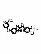 CC(=O)c1cc(Oc2ccc3[nH]c(Nc4ccc(Cl)c(C(F)(F)F)c4)nc3c2)ccn1